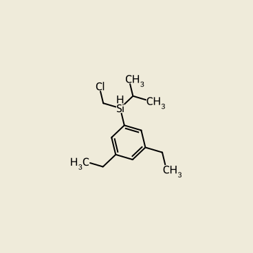 CCc1cc(CC)cc([SiH](CCl)C(C)C)c1